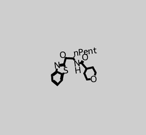 CCCCC[C@H](NC(=O)C1CCOCC1)C(=O)c1nc2ccccc2s1